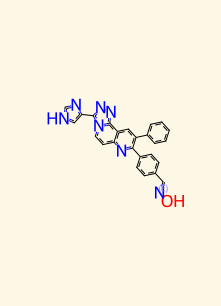 O/N=C/c1ccc(-c2nc3ccn4c(-c5c[nH]cn5)nnc4c3cc2-c2ccccc2)cc1